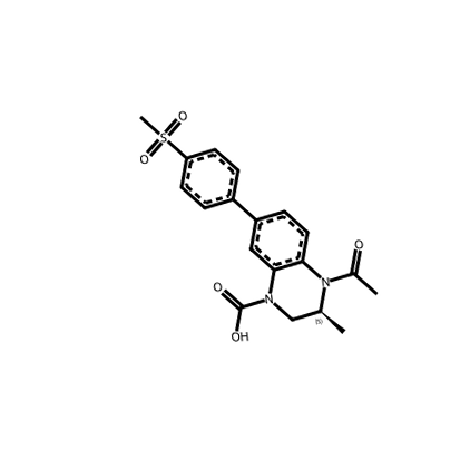 CC(=O)N1c2ccc(-c3ccc(S(C)(=O)=O)cc3)cc2N(C(=O)O)C[C@@H]1C